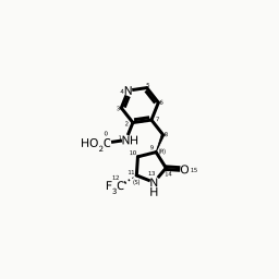 O=C(O)Nc1cnccc1C[C@@H]1C[C@@H](C(F)(F)F)NC1=O